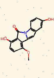 COc1ccc(O)c2c1-c1cc3cc(O)ccc3n1C2=O